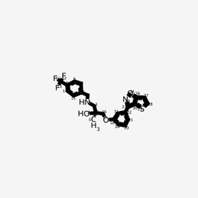 C[C@@](O)(CNCc1ccc(C(F)(F)F)cc1)COc1cccc(-c2noc3ccsc23)c1